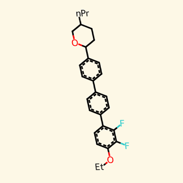 CCCC1CCC(c2ccc(-c3ccc(-c4ccc(OCC)c(F)c4F)cc3)cc2)OC1